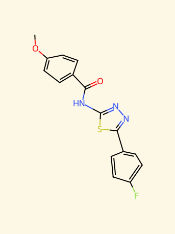 COc1ccc(C(=O)Nc2nnc(-c3ccc(F)cc3)s2)cc1